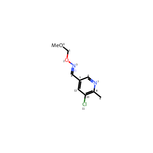 COCO/N=C/c1cnc(C)c(Cl)c1